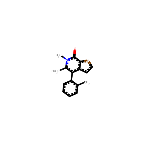 Cc1ccccc1-c1c(C(=O)O)n(C)c(=O)c2sccc12